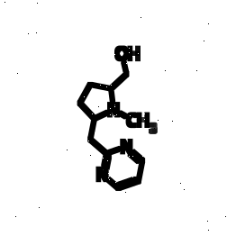 CN1C(CO)CCC1Cc1ncccn1